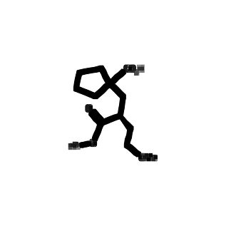 CCCOC(=O)[C@H](CCOC)CC1(C(=O)O)CCCC1